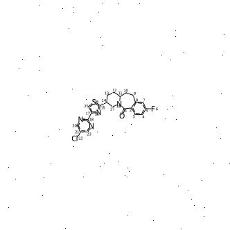 O=C1c2ccc(F)cc2CCC2CCC(c3nc(-c4ncc(Cl)cn4)cs3)CN12